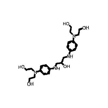 OCCN(CCO)c1ccc(NCC(O)CNc2ccc(N(CCO)CCO)cc2)cc1